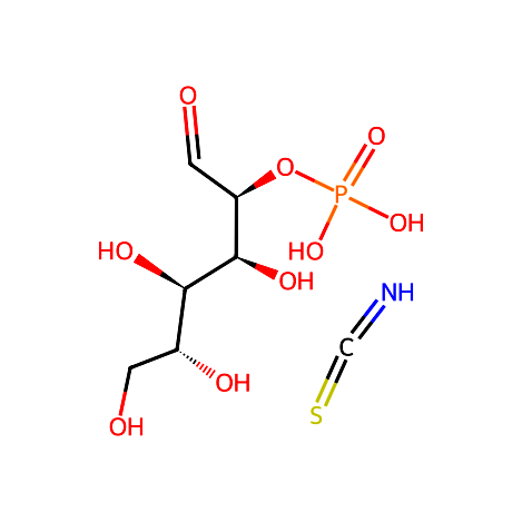 N=C=S.O=C[C@@H](OP(=O)(O)O)[C@@H](O)[C@H](O)[C@H](O)CO